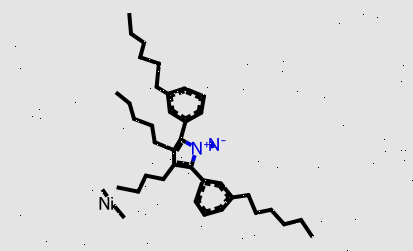 CCCCCCc1cccc(C2=C(CCCC)C(CCCCC)=C(c3cccc(CCCCCC)c3)[N+]2=[N-])c1.[CH3][Ni][CH3]